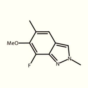 COc1c(C)cc2cn(C)nc2c1F